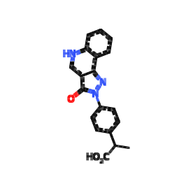 CC(C(=O)O)c1ccc(-n2nc3c4ccccc4[nH]cc-3c2=O)cc1